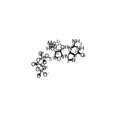 Nc1nc2c(ncn2[C@@H]2O[C@H](COP(=O)([O-])OP(=O)([O-])OP(=O)([O-])[O-])[C@@H](O)[C@H]2O)c(=O)[nH]1.[Mg+2].[Mg+2]